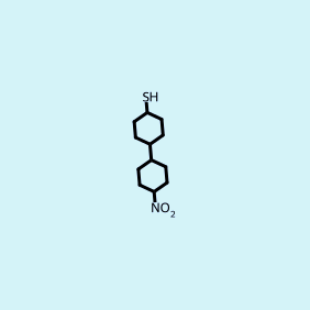 O=[N+]([O-])C1CCC(C2CCC(S)CC2)CC1